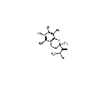 CCN(C)C(=O)C1(C)CCc2c(C)c(O)c(C)c(C)c2O1